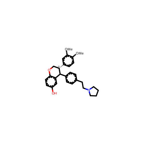 COc1ccc([C@H]2COc3ccc(O)cc3C2c2ccc(CCN3CCCC3)cc2)cc1OC